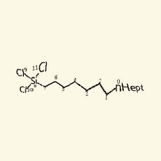 [CH2]CCCCCCCCCCCC[CH][Si](Cl)(Cl)Cl